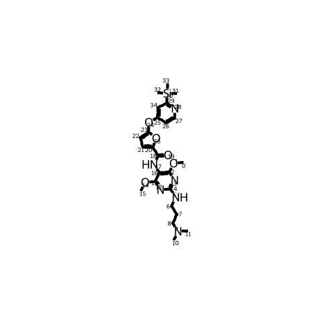 COc1nc(NCCCN(C)C)nc(OC)c1NC(=O)c1ccc(Oc2ccnc([Si](C)(C)C)c2)o1